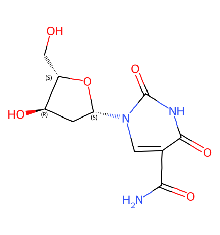 NC(=O)c1cn([C@@H]2C[C@@H](O)[C@H](CO)O2)c(=O)[nH]c1=O